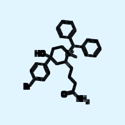 C[N+]1(C(c2ccccc2)c2ccccc2)CCC(O)(c2ccc(Br)cc2)CC1CCCC(N)=O